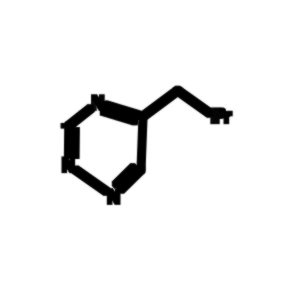 CC(C)Cc1cnn[c]n1